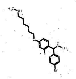 CNCCCCCCOc1ccc(C(NC)c2ccc(Br)cc2)c(F)c1